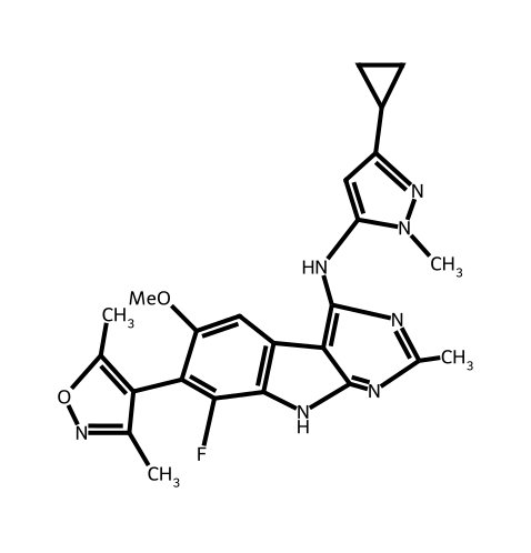 COc1cc2c([nH]c3nc(C)nc(Nc4cc(C5CC5)nn4C)c32)c(F)c1-c1c(C)noc1C